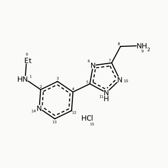 CCNc1cc(-c2nc(CN)n[nH]2)ccn1.Cl